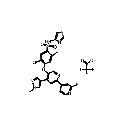 Cn1cc(-c2cc(-c3ccnc(F)c3)ncc2Oc2cc(F)c(S(=O)(=O)Nc3cscn3)cc2Cl)cn1.O=C(O)C(F)(F)F